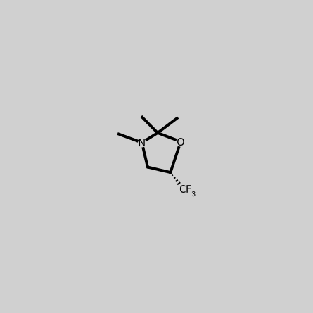 CN1C[C@@H](C(F)(F)F)OC1(C)C